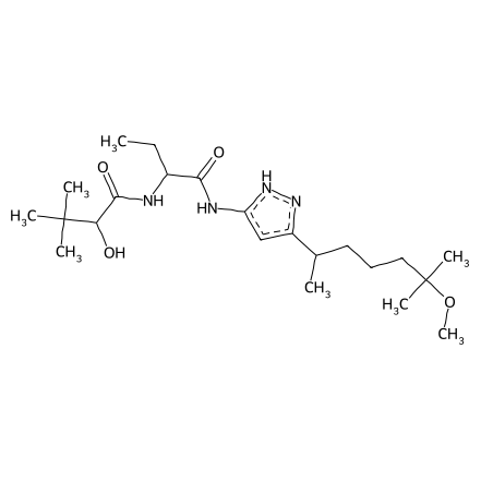 CCC(NC(=O)C(O)C(C)(C)C)C(=O)Nc1cc(C(C)CCCC(C)(C)OC)n[nH]1